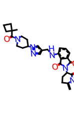 C=C1CCC(N2C(=O)c3cccc(NCc4cnn(C5CCN(C(=O)C6(C)CCC6)CC5)c4)c3C2=O)C(=O)N1